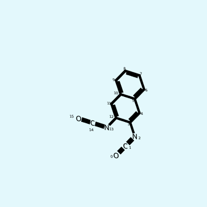 O=C=Nc1cc2ccccc2cc1N=C=O